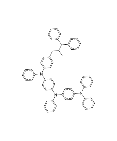 CC(Cc1ccc(N(c2ccccc2)c2ccc(N(c3ccccc3)c3ccc(N(c4ccccc4)c4ccccc4)cc3)cc2)cc1)C(c1ccccc1)c1ccccc1